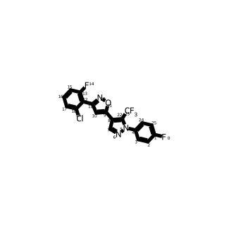 Fc1ccc(-n2ncc(-c3cc(-c4c(F)cccc4Cl)no3)c2C(F)(F)F)cc1